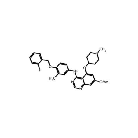 COc1cc(OC2CCN(C)CC2)c2c(Nc3ccc(OCc4ccccc4F)c(C)c3)ncnc2c1